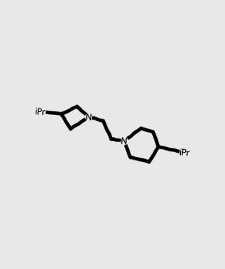 CC(C)C1CCN(CCN2CC(C(C)C)C2)CC1